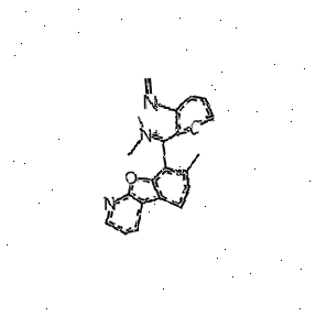 C=Nc1ccccc1C(c1c(C)ccc2c1oc1ncccc12)=[N+](C)C